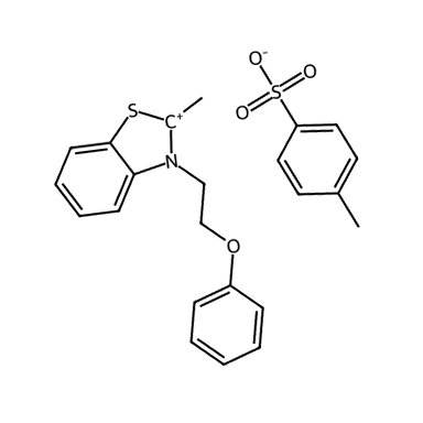 C[c+]1sc2ccccc2n1CCOc1ccccc1.Cc1ccc(S(=O)(=O)[O-])cc1